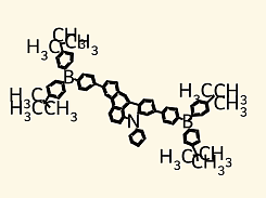 CC(C)(C)c1ccc(B(c2ccc(-c3ccc4c(c3)N(c3ccccc3)c3cccc5c3c-4cc3ccc(-c4ccc(B(c6ccc(C(C)(C)C)cc6)c6ccc(C(C)(C)C)cc6)cc4)cc35)cc2)c2ccc(C(C)(C)C)cc2)cc1